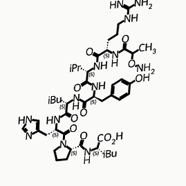 CCC(C)[C@H](NC(=O)[C@@H]1CCCN1C(=O)[C@H](Cc1c[nH]cn1)NC(=O)[C@@H](NC(=O)[C@H](Cc1ccc(O)cc1)NC(=O)[C@@H](NC(=O)[C@H](CCCNC(=N)N)NC(=O)C(C)ON)C(C)C)C(C)CC)C(=O)O